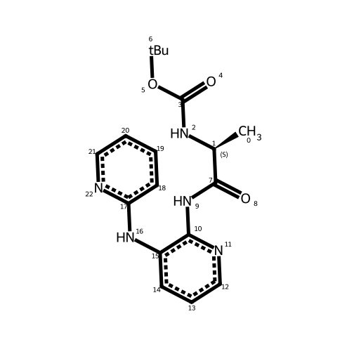 C[C@H](NC(=O)OC(C)(C)C)C(=O)Nc1ncccc1Nc1ccccn1